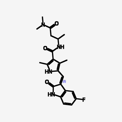 Cc1[nH]c(/C=C2\C(=O)Nc3ccc(F)cc32)c(C)c1C(=O)NC(C)CC(=O)N(C)C